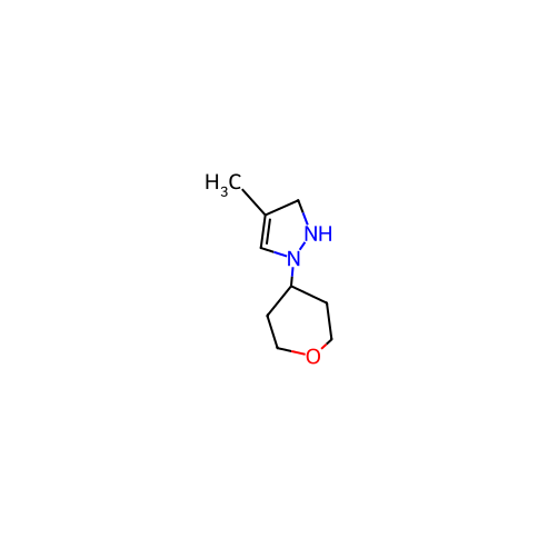 CC1=CN(C2CCOCC2)NC1